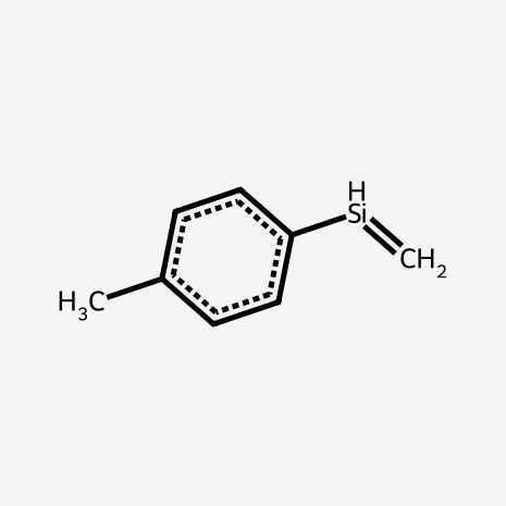 C=[SiH]c1ccc(C)cc1